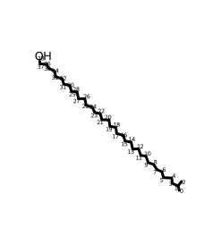 CC(C)CCCCCCCCCCCCCCCCCCCCCCCCCCCCCCCCCCCO